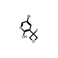 Oc1ncc(Br)cc1C1(F)COC1